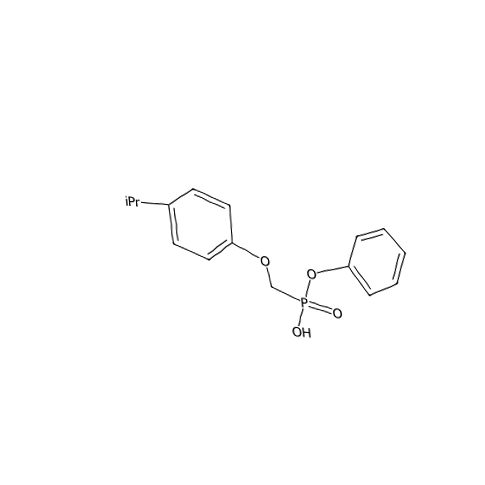 CC(C)c1ccc(OCP(=O)(O)Oc2ccccc2)cc1